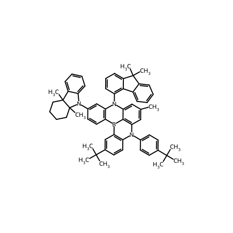 Cc1cc2c3c(c1)N(c1cccc4c1-c1ccccc1C4(C)C)c1cc(N4c5ccccc5C5(C)CCCCC45C)ccc1B3c1cc(C(C)(C)C)ccc1N2c1ccc(C(C)(C)C)cc1